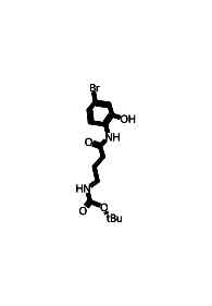 CC(C)(C)OC(=O)NCCCC(=O)Nc1ccc(Br)cc1O